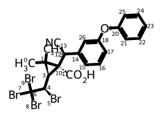 CC1(C)[C@H]([C@@H](Br)C(Br)(Br)Br)[C@]1(C(=O)O)[C@@H](C#N)c1cccc(Oc2ccccc2)c1